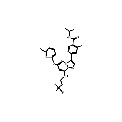 Cc1cc(-c2cnc3c(NCCC(F)(F)F)cc(Oc4cccc(F)c4)nn23)ccc1C(=O)NC(C)C